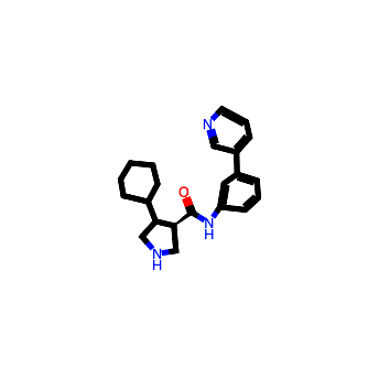 O=C(Nc1cccc(-c2cccnc2)c1)[C@H]1CNCC1C1CCCCC1